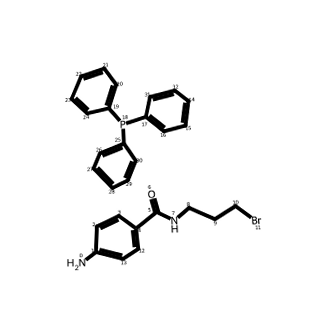 Nc1ccc(C(=O)NCCCBr)cc1.c1ccc(P(c2ccccc2)c2ccccc2)cc1